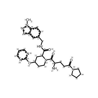 Cn1nnc2cc(CNC(=O)C3CC(Oc4ncccn4)CCN3C(=O)C(N)CCC(=O)N3CCCC3)ccc21